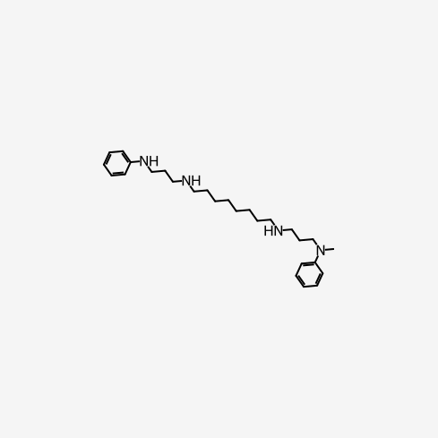 CN(CCCNCCCCCCCCNCCCNc1ccccc1)c1ccccc1